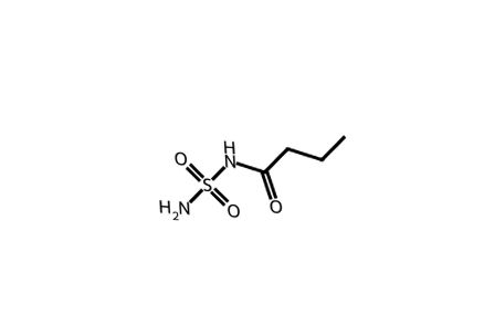 CCCC(=O)NS(N)(=O)=O